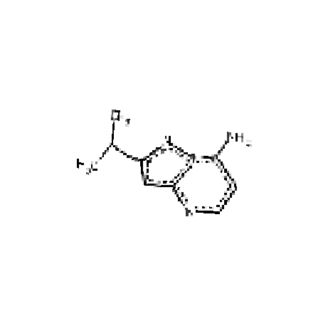 CC(C)c1cc2nccc(N)n2n1